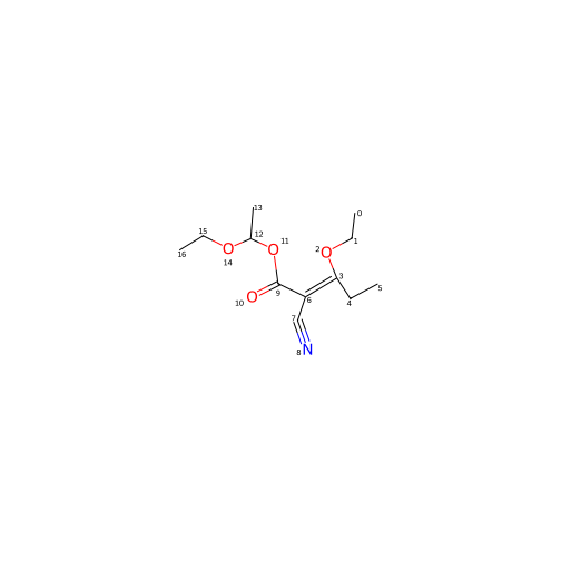 CCO/C(CC)=C(/C#N)C(=O)OC(C)OCC